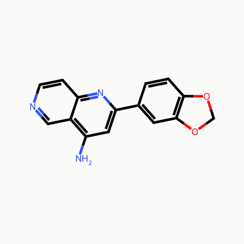 Nc1cc(-c2ccc3c(c2)OCO3)nc2ccncc12